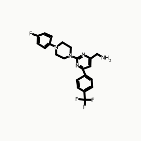 NCc1cc(-c2ccc(C(F)(F)F)cc2)nc(N2CCN(c3ccc(F)cc3)CC2)n1